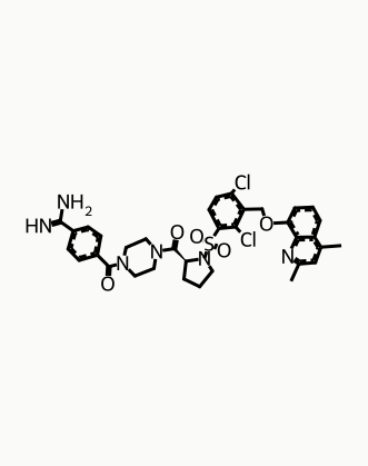 Cc1cc(C)c2cccc(OCc3c(Cl)ccc(S(=O)(=O)N4CCC[C@H]4C(=O)N4CCN(C(=O)c5ccc(C(=N)N)cc5)CC4)c3Cl)c2n1